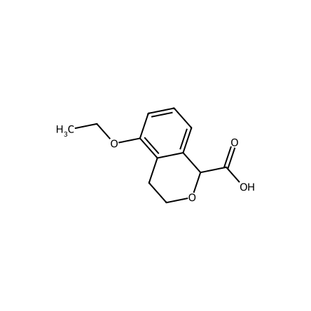 CCOc1cccc2c1CCOC2C(=O)O